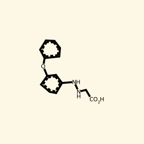 O=C(O)CNNc1cccc(Oc2ccccc2)c1